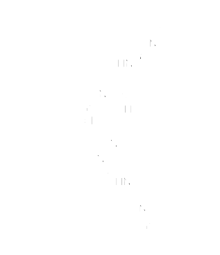 COc1nc(-c2cccc(-c3cccc(-c4ccn5c(=O)c(CNCCNC(C)=O)cnc5c4)c3Cl)c2Cl)ccc1CNC[C@H]1CCC(=O)N1